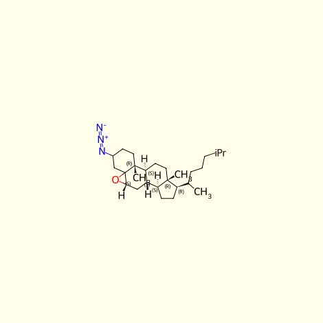 CC(C)CCCC(C)[C@H]1CC[C@H]2[C@@H]3C[C@@H]4OC45CC(N=[N+]=[N-])CC[C@]5(C)[C@H]3CC[C@]12C